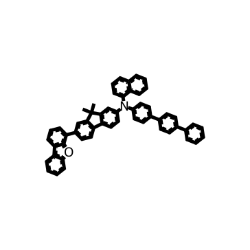 CC1(C)c2cc(-c3cccc4c3oc3ccccc34)ccc2-c2ccc(N(c3ccc(-c4ccc(-c5ccccc5)cc4)cc3)c3cccc4ccccc34)cc21